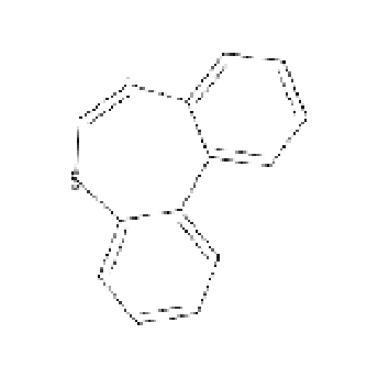 [C]1=CSc2ccccc2-c2ccccc21